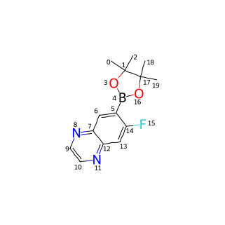 CC1(C)OB(c2cc3nccnc3cc2F)OC1(C)C